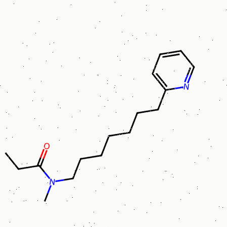 CCC(=O)N(C)CCCCCCCc1ccccn1